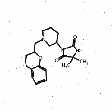 CC1(C)NC(=O)N(C2CCCN(CC3COc4ccccc4O3)C2)C1=O